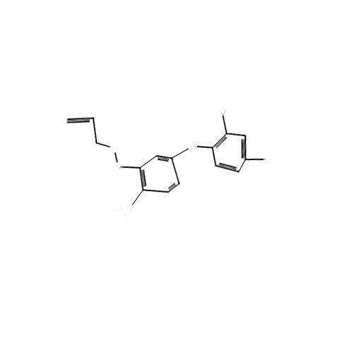 C=CCONc1cc(Oc2ccc(C(F)(F)F)cc2Cl)ccc1[N+](=O)[O-]